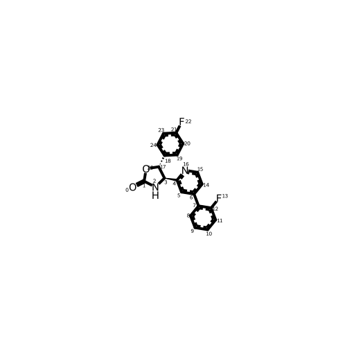 O=C1N[C@H](c2cc(-c3ccccc3F)ccn2)[C@@H](c2ccc(F)cc2)O1